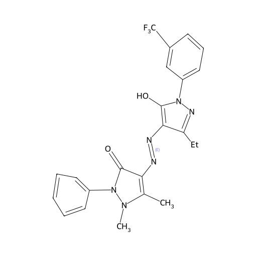 CCc1nn(-c2cccc(C(F)(F)F)c2)c(O)c1/N=N/c1c(C)n(C)n(-c2ccccc2)c1=O